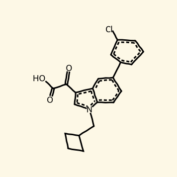 O=C(O)C(=O)c1cn(CC2CCC2)c2ccc(-c3cccc(Cl)c3)cc12